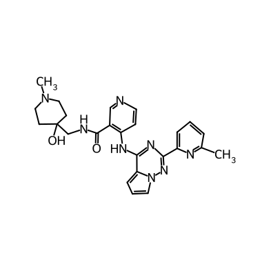 Cc1cccc(-c2nc(Nc3ccncc3C(=O)NCC3(O)CCN(C)CC3)c3cccn3n2)n1